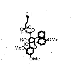 C#CCCS(=O)(=O)NC(=O)[C@H]1[C@@H](O)[C@@]2(O)c3c(OC)cc(OC)cc3O[C@@]2(c2ccc(OC)cc2)[C@@H]1c1ccccc1